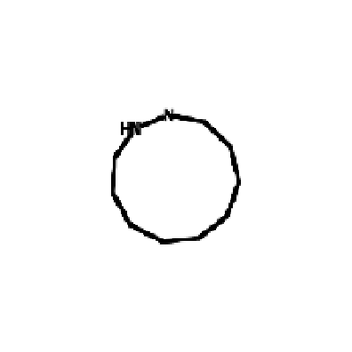 C1CCCC[N]NCCCC1